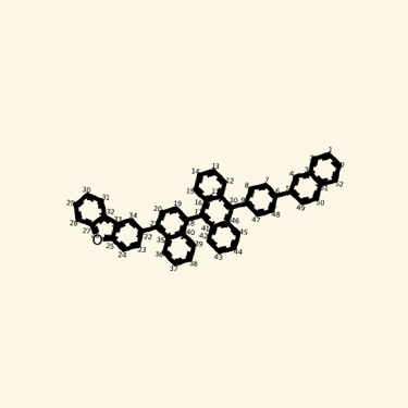 c1ccc2cc(-c3ccc(-c4c5ccccc5c(-c5ccc(-c6ccc7oc8ccccc8c7c6)c6ccccc56)c5ccccc45)cc3)ccc2c1